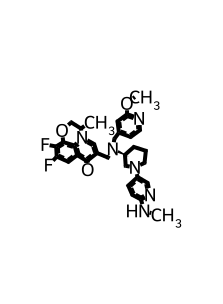 CNc1ccc(N2CCC[C@H](N(Cc3ccnc(OC)c3)Cc3cn4c5c(c(F)c(F)cc5c3=O)OCC4C)C2)cn1